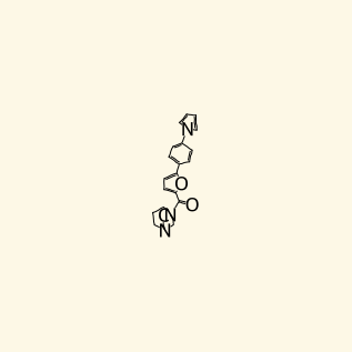 O=C(c1ccc(-c2ccc(-n3cccc3)cc2)o1)N1CCN2CCC1CC2